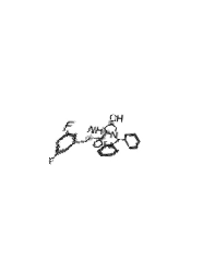 N[C@@H](Cc1cc(F)cc(F)c1)[C@H](O)[C@H]1C[C@H](O)CN1C(c1ccccc1)c1ccccc1